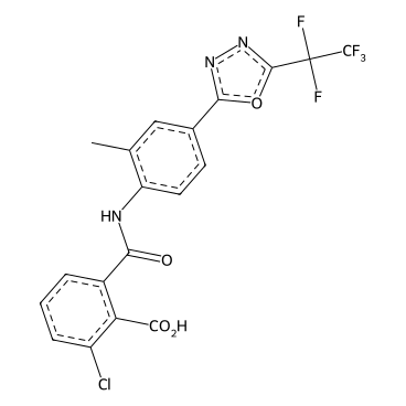 Cc1cc(-c2nnc(C(F)(F)C(F)(F)F)o2)ccc1NC(=O)c1cccc(Cl)c1C(=O)O